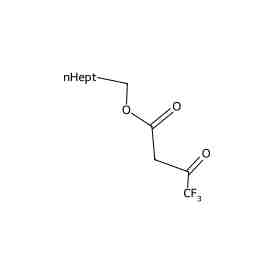 CCCCCCCCOC(=O)CC(=O)C(F)(F)F